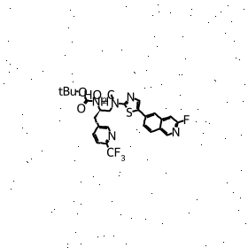 CC(C)(C)OC(=O)N[C@H](Cc1ccc(C(F)(F)F)nc1)CN(C(=O)O)c1ncc(-c2ccc3cnc(F)cc3c2)s1